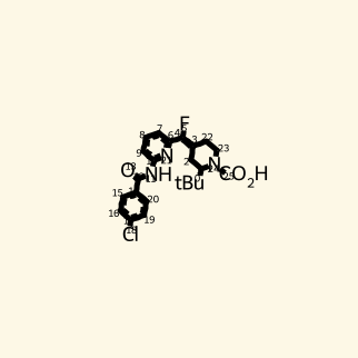 CC(C)(C)C1C/C(=C(/F)c2cccc(NC(=O)c3ccc(Cl)cc3)n2)CCN1C(=O)O